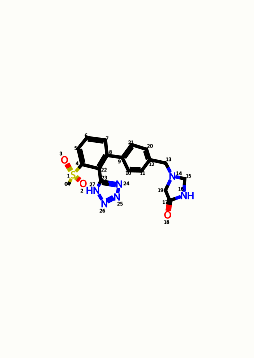 CS(=O)(=O)c1cccc(-c2ccc(CN3CNC(=O)C3)cc2)c1-c1nnn[nH]1